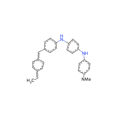 CC=c1ccc(=Cc2ccc(Nc3ccc(Nc4ccc(NC)cc4)cc3)cc2)cc1